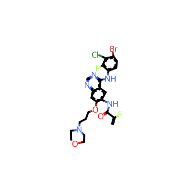 C=C(F)C(=O)Nc1cc2c(Nc3ccc(Br)c(Cl)c3F)ncnc2cc1OCCCN1CCOCC1